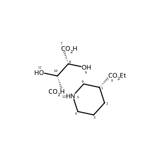 CCOC(=O)[C@@H]1CCCNC1.O=C(O)[C@H](O)[C@@H](O)C(=O)O